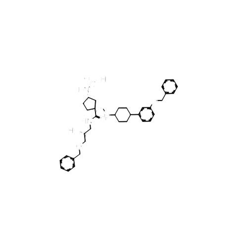 CS(=O)(=O)N[C@H]1CC[C@](COC2CCC(c3cccc(OCc4ccccc4)c3)CC2)(C(=O)NC[C@H](O)COCc2ccccc2)C1